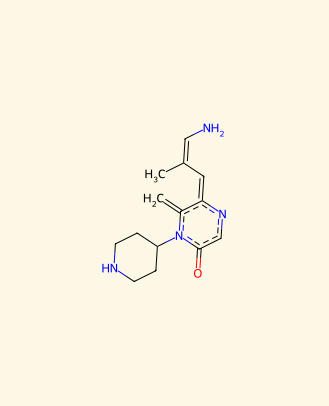 C=c1/c(=C\C(C)=C/N)ncc(=O)n1C1CCNCC1